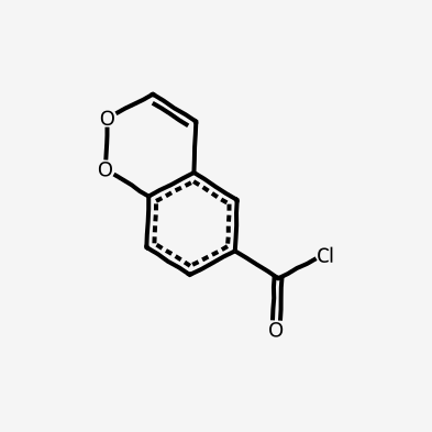 O=C(Cl)c1ccc2c(c1)C=COO2